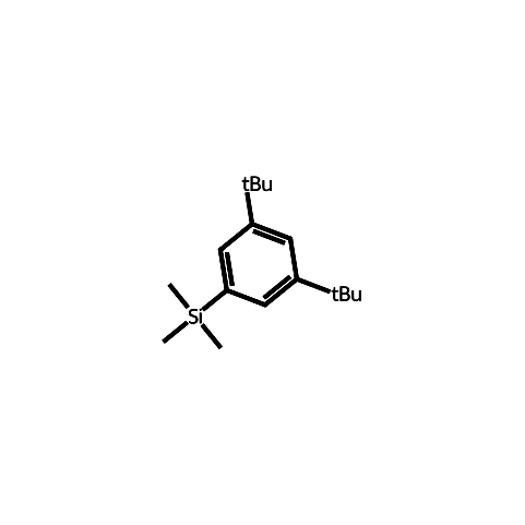 CC(C)(C)c1cc(C(C)(C)C)cc([Si](C)(C)C)c1